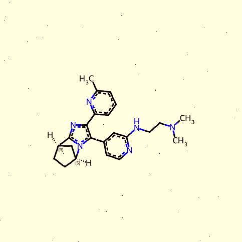 Cc1cccc(-c2nc3n(c2-c2ccnc(NCCN(C)C)c2)[C@H]2CC[C@@H]3C2)n1